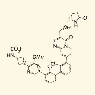 COc1nc(-c2cccc(-c3cccc(-c4ccn5c(=O)c(CNC[C@@H]6CCC(=O)N6)cnc5c4)c3Cl)c2Cl)cnc1N1CC(NC(=O)O)C1